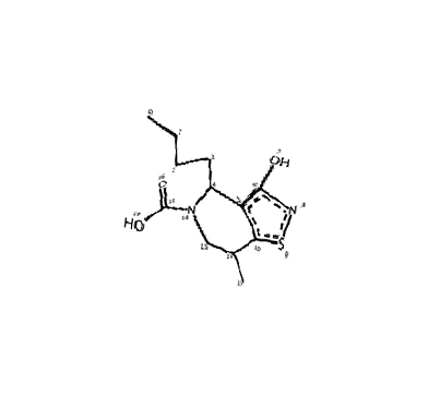 CCCCC1c2c(O)nsc2C(C)CN1C(=O)O